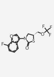 O=C1S[C@@H](COC(F)(F)F)CN1c1coc2c(F)cccc12